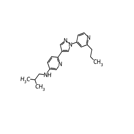 CCCc1cc(-n2cc(-c3ccc(NCC(C)C)cn3)cn2)ccn1